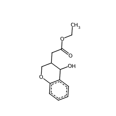 CCOC(=O)CC1COc2ccccc2C1O